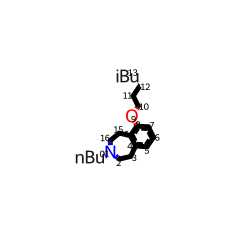 CCCCN1CCc2cccc(OCCC[C@@H](C)CC)c2CC1